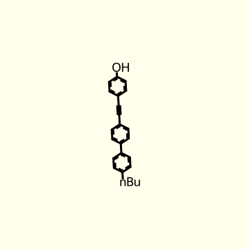 CCCCc1ccc(-c2ccc(C#Cc3ccc(O)cc3)cc2)cc1